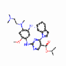 COc1cc(N(C)CCN(C)C)c(N)cc1Nc1ncc(C(=O)OC(C)C)c(-n2ccc3ccccc32)n1